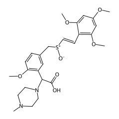 COc1cc(OC)c(/C=C/[S+]([O-])Cc2ccc(OC)c(C(C(=O)O)N3CCN(C)CC3)c2)c(OC)c1